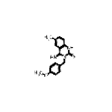 COc1ccc(Cn2c(=S)[nH]c3ccc(C)cc3c2=N)cc1